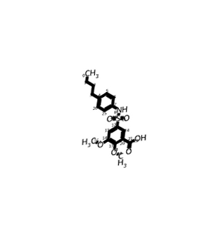 CCCCc1ccc(NS(=O)(=O)c2cc(OC)c(OC)c(C(=O)O)c2)cc1